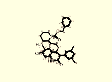 Cc1cc(C)cc(-c2c(SCCC3CCCCN3C(=O)OCc3ccccc3)c3cc(N)c(Cl)cc3[nH]c2=O)c1